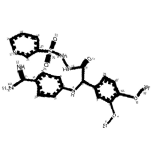 CCOc1cc(C(Nc2ccc(C(=N)N)cc2)C(=O)NNS(=O)(=O)c2cccnc2)ccc1OC(C)C